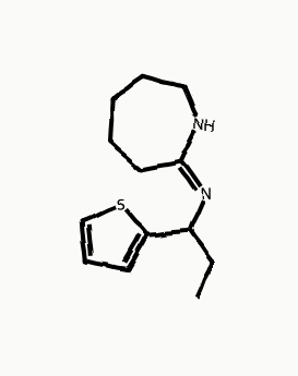 CCC(N=C1CCCCCN1)c1cccs1